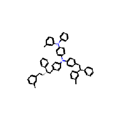 Cc1cccc(CC[C@@H](Cc2ccc(N(c3ccc(CC(c4ccccc4)c4cccc(C)c4)cc3)c3ccc(N(c4ccccc4)c4cccc(C)c4)cc3)cc2)c2ccccc2)c1